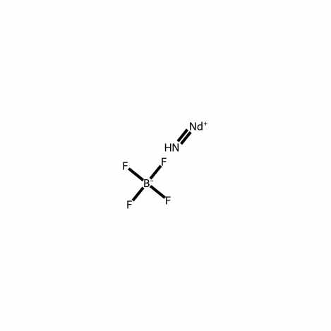 F[B-](F)(F)F.[NH]=[Nd+]